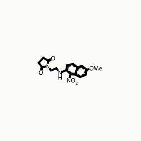 COc1ccc2c([N+](=O)[O-])c(NCCN3C(=O)CCC3=O)ccc2c1